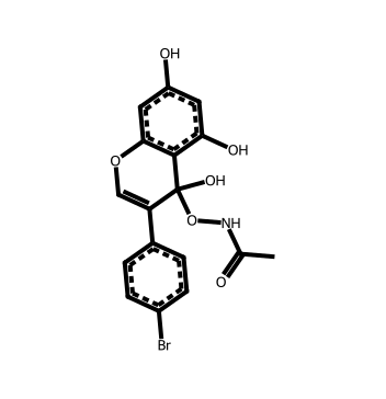 CC(=O)NOC1(O)C(c2ccc(Br)cc2)=COc2cc(O)cc(O)c21